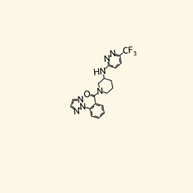 O=C(c1ccccc1-n1nccn1)N1CCCC(Nc2ccc(C(F)(F)F)nn2)C1